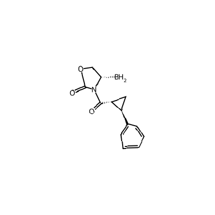 B[C@H]1COC(=O)N1C(=O)[C@@H]1C[C@H]1c1ccccc1